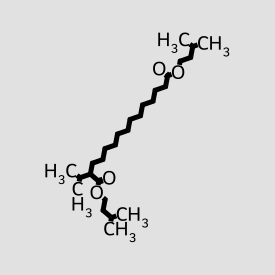 CC(C)CCOC(=O)CCCCCCCCCCCCC(C(=O)OCCC(C)C)C(C)C